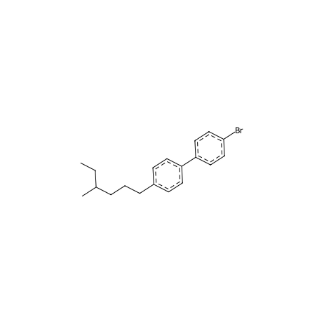 CCC(C)CCCc1ccc(-c2ccc(Br)cc2)cc1